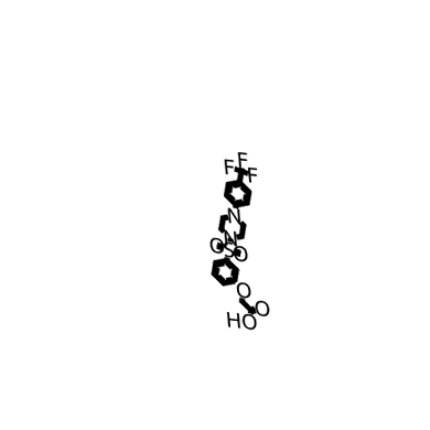 O=C(O)COc1cccc(S(=O)(=O)N2CCN(c3ccc(C(F)(F)F)cc3)CC2)c1